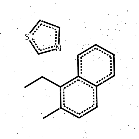 CCc1c(C)ccc2ccccc12.c1cscn1